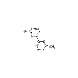 Cc1ccnc(-c2cccc(F)c2)c1